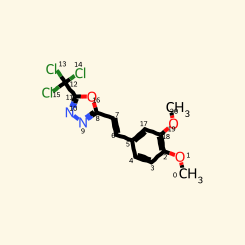 COc1ccc(C=Cc2nnc(C(Cl)(Cl)Cl)o2)cc1OC